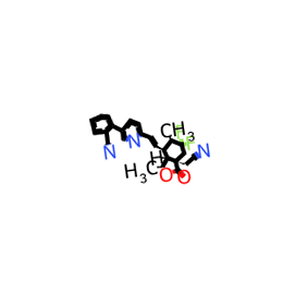 C[C@H]1OC(=O)[C@]2(CC#N)CC(F)(F)[C@@H](C)[C@H](/C=C/c3ccc(-c4ccccc4C#N)cn3)[C@H]12